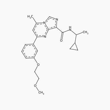 COCCOc1cccc(-c2cc(C)n3cnc(C(=O)NC(C)C4CC4)c3n2)c1